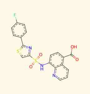 O=C(O)c1ccc(NS(=O)(=O)c2csc(-c3ccc(F)cc3)n2)c2ncccc12